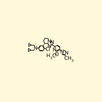 COc1nc(-c2nc3n(n2)CCC[C@@H]3c2cc(N(CC3CC3)CC3CC3)ccc2Cl)ccc1-n1cnc(C)c1